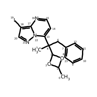 CC1OC(C(C)(Cc2ccccc2)c2ccnc3c(I)cnn23)O1